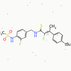 C/C(=C(/F)C(=S)NCc1ccc(NS(C)(=O)=O)c(F)c1)c1ccc(C(C)(C)C)cc1